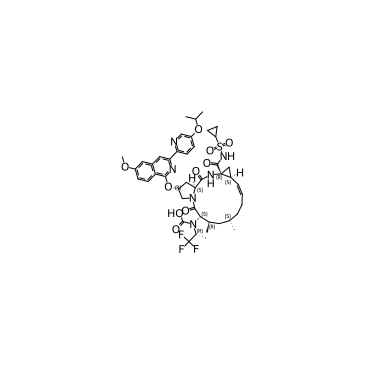 COc1ccc2c(O[C@@H]3C[C@H]4C(=O)N[C@]5(C(=O)NS(=O)(=O)C6CC6)C[C@H]5C=CCC[C@H](C)C[C@@H](C)[C@H](N(C(=O)O)[C@H](C)C(F)(F)F)C(=O)N4C3)nc(-c3ccc(OC(C)C)cn3)cc2c1